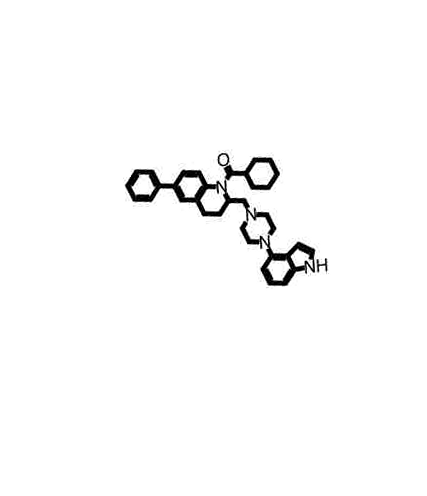 O=C(C1CCCCC1)N1c2ccc(-c3ccccc3)cc2CCC1CN1CCN(c2cccc3[nH]ccc23)CC1